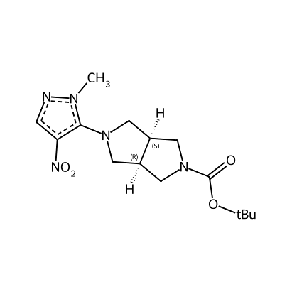 Cn1ncc([N+](=O)[O-])c1N1C[C@H]2CN(C(=O)OC(C)(C)C)C[C@H]2C1